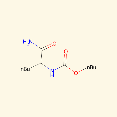 CCCCOC(=O)NC(CCCC)C(N)=O